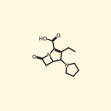 CCC1=C(C(=O)O)N2C(=O)CC2C1N1CCCC1